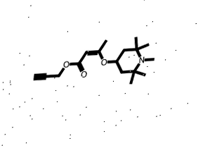 C#CCOC(=O)/C=C(/C)OC1CC(C)(C)N(C)C(C)(C)C1